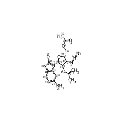 C=C(C)O[C@@H]1[C@H](N=[N+]=[N-])[C@@H](COC(C)=O)O[C@H]1n1c(=O)sc2cnc(N)nc21